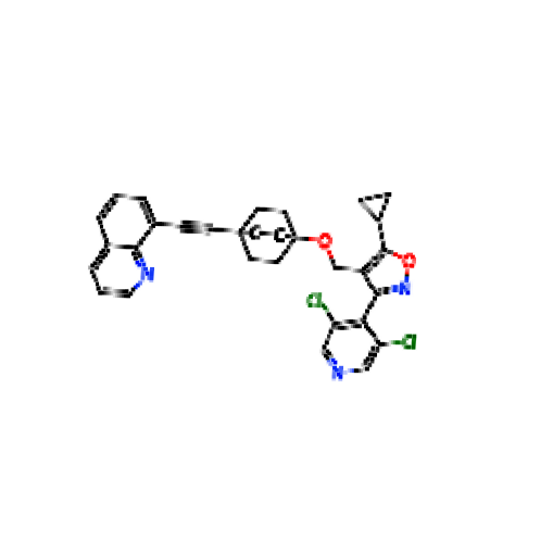 Clc1cncc(Cl)c1-c1noc(C2CC2)c1COC12CCC(C#Cc3cccc4cccnc34)(CC1)CC2